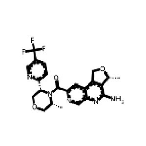 C[C@@H]1COC[C@H](c2ccc(C(F)(F)F)cn2)N1C(=O)c1cc2c3c(c(N)nc2cn1)[C@@H](C)OC3